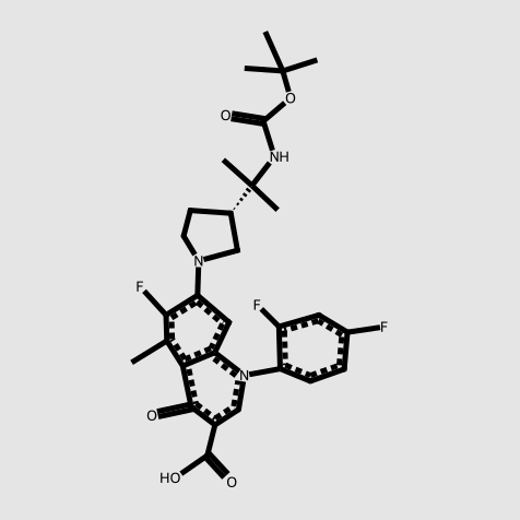 Cc1c(F)c(N2CC[C@H](C(C)(C)NC(=O)OC(C)(C)C)C2)cc2c1c(=O)c(C(=O)O)cn2-c1ccc(F)cc1F